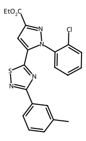 CCOC(=O)c1cc(-c2nc(-c3cccc(C)c3)ns2)n(-c2ccccc2Cl)n1